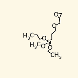 CCCO[Si](CCCOCC1CO1)(OC)OCC